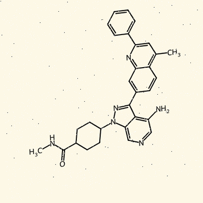 CNC(=O)C1CCC(n2nc(-c3ccc4c(C)cc(-c5ccccc5)nc4c3)c3c(N)cncc32)CC1